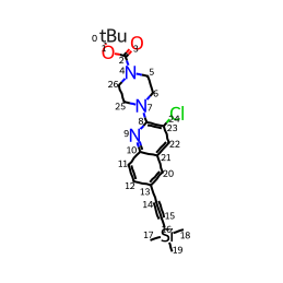 CC(C)(C)OC(=O)N1CCN(c2nc3ccc(C#C[Si](C)(C)C)cc3cc2Cl)CC1